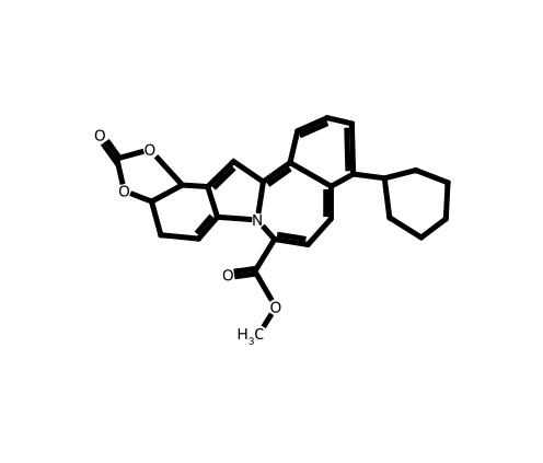 COC(=O)C1=CC=c2c(C3CCCCC3)cccc2=c2cc3c(n21)=CCC1OC(=O)OC31